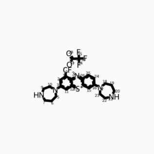 FC(F)(F)c1cc(N2CCCNCC2)cc2[s+]c3cc(N4CCCNCC4)ccc3nc12.O=C([O-])C(F)(F)F